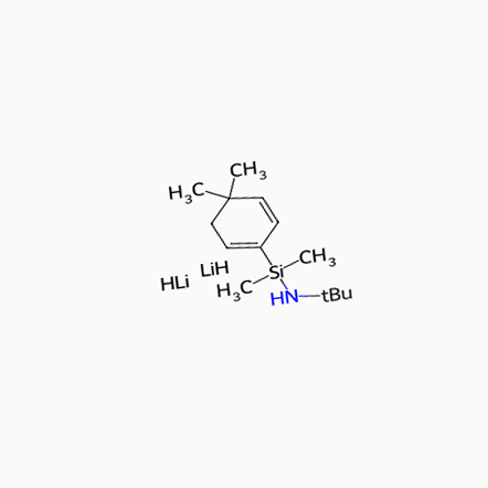 CC1(C)C=CC([Si](C)(C)NC(C)(C)C)=CC1.[LiH].[LiH]